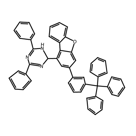 c1ccc(C2=NC(c3cc(-c4cccc(C(c5ccccc5)(c5ccccc5)c5ccccc5)c4)cc4oc5ccccc5c34)NC(c3ccccc3)=N2)cc1